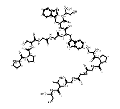 CC(C)CC(NC(=O)C(NC(=O)CNC(=O)CNC(=O)CNC(=O)C1CCCN1C(=O)C(N)CO)C(C)O)C(=O)O.O=C(CNC(=O)C(CO)NC(=O)C1CCCN1C(=O)C1CCCN1)NCC(=O)NC(Cc1c[nH]c2ccccc12)C(=O)NC(Cc1c[nH]c2ccccc12)C(=O)NC(CO)C(=O)O